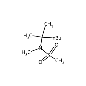 CCCCC(C)(C)N(C)S(C)(=O)=O